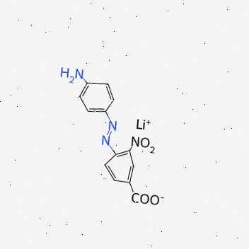 Nc1ccc(N=Nc2ccc(C(=O)[O-])cc2[N+](=O)[O-])cc1.[Li+]